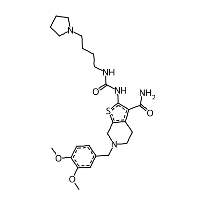 COc1ccc(CN2CCc3c(sc(NC(=O)NCCCCN4CCCC4)c3C(N)=O)C2)cc1OC